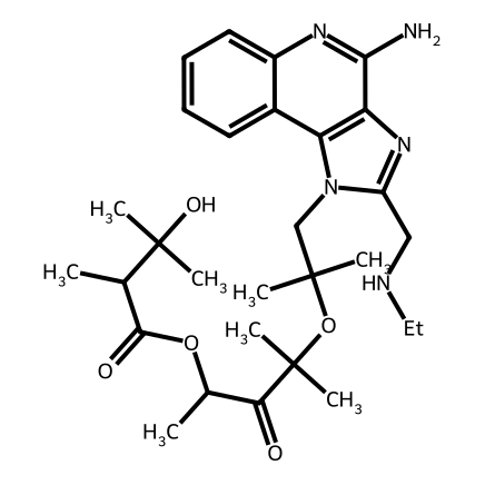 CCNCc1nc2c(N)nc3ccccc3c2n1CC(C)(C)OC(C)(C)C(=O)C(C)OC(=O)C(C)C(C)(C)O